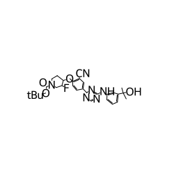 CC(C)(C)OC(=O)N1CCC(Oc2ccc(-c3ncnc(Nc4cccc(C(C)(C)O)c4)n3)cc2C#N)C(F)C1